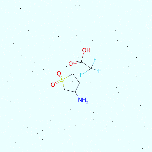 NC1CCS(=O)(=O)C1.O=C(O)C(F)(F)F